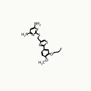 COc1ccc(-c2nc(CSc3nc(N)cc(N)n3)cs2)cc1OCCF